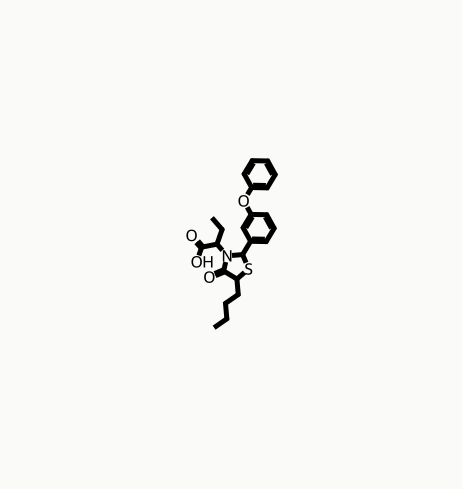 CCCCC1SC(c2cccc(Oc3ccccc3)c2)N(C(CC)C(=O)O)C1=O